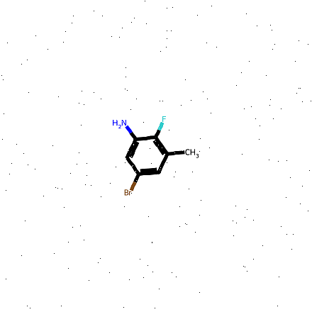 Cc1cc(Br)cc(N)c1F